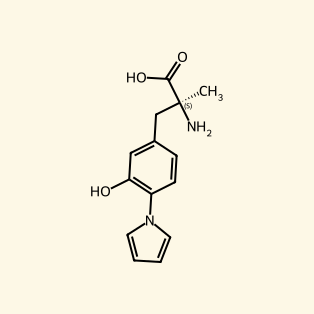 C[C@](N)(Cc1ccc(-n2cccc2)c(O)c1)C(=O)O